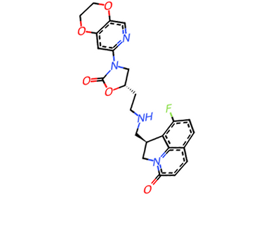 O=C1O[C@@H](CCNC[C@@H]2Cn3c(=O)ccc4ccc(F)c2c43)CN1c1cc2c(cn1)OCCO2